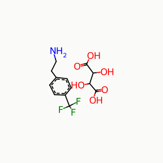 NCCc1ccc(C(F)(F)F)cc1.O=C(O)C(O)C(O)C(=O)O